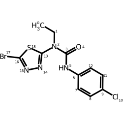 CCN(C(=O)Nc1ccc(Cl)cc1)c1nnc(Br)s1